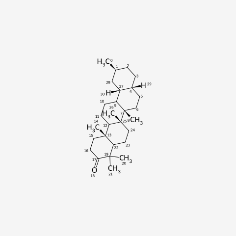 C[C@H]1CC[C@@H]2CC[C@@]3(C)C(CCC4[C@@]5(C)CCC(=O)C(C)(C)C5CC[C@]43C)[C@@H]2C1